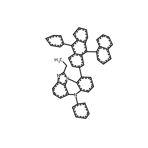 CCc1nc2cccc3c2n1-c1c(-c2ccc4c(-c5ccccc5)c5ccccc5c(-c5cccc6ccccc56)c4c2)cccc1N3c1ccccc1